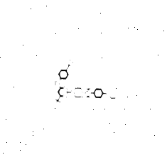 CCOc1ccc(S(=O)(=O)N2CCN(c3nc(Nc4ccc(C#N)cc4)cc(C(F)(F)F)n3)CC2)cc1